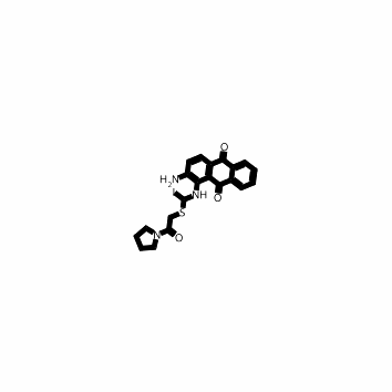 Nc1ccc2c(c1NC(I)SCC(=O)N1CCCC1)C(=O)c1ccccc1C2=O